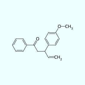 C=CC(CC(=O)c1ccccc1)c1ccc(OC)cc1